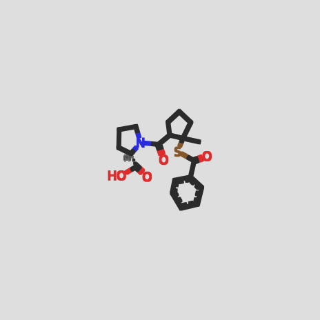 CC1(SC(=O)c2ccccc2)CCCC1C(=O)N1CCC[C@H]1C(=O)O